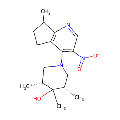 CC1CCc2c1ncc([N+](=O)[O-])c2N1C[C@@H](C)C(C)(O)[C@@H](C)C1